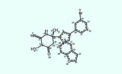 CN1C(=N)N[C@](C)(c2cc(-c3cncc(Br)c3)cs2)[C@H](c2ccc3ccoc3c2)C1=O